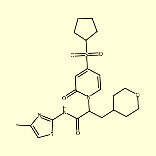 Cc1csc(NC(=O)C(CC2CCOCC2)n2ccc(S(=O)(=O)C3CCCC3)cc2=O)n1